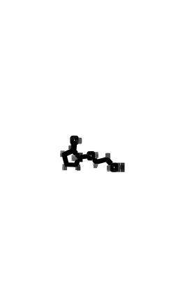 O=C1CCCN1OCCO